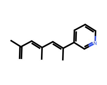 C=C(C)/C=C(C)/C=C(\C)c1cccnc1